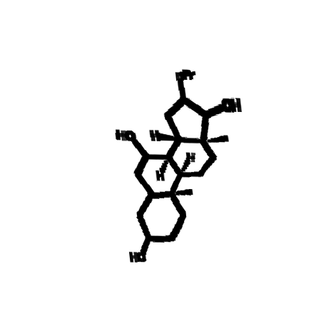 CCCC1C[C@H]2[C@@H]3C(O)CC4CC(O)CC[C@]4(C)[C@@H]3CC[C@]2(C)C1O